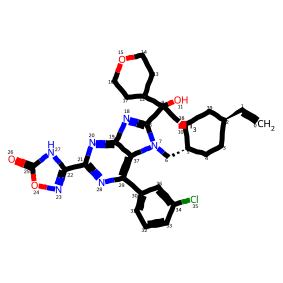 C=C[C@H]1CC[C@H](Cn2c(C(C)(O)C3CCOCC3)nc3nc(-c4noc(=O)[nH]4)nc(-c4cccc(Cl)c4)c32)CC1